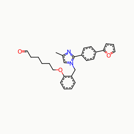 Cc1cn(Cc2ccccc2OCCCCCC=O)c(-c2ccc(-c3ccco3)cc2)n1